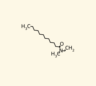 C=CN(C)C(=O)CCCCCCCCCCC